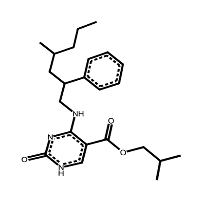 CCCC(C)CC(CNc1nc(=O)[nH]cc1C(=O)OCC(C)C)c1ccccc1